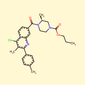 CCCOC(=O)N1CCN(C(=O)c2ccc3c(Cl)c(C)c(-c4ccc(C)cc4)nc3c2)[C@@H](C)C1